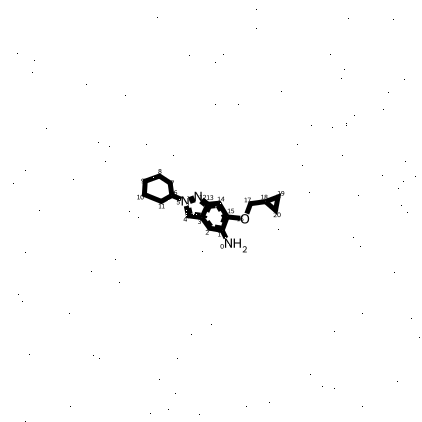 Nc1cc2cn(C3CCCCC3)nc2cc1OCC1CC1